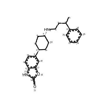 CC(CCN[C@H]1CC[C@H](c2ccc3[nH]c(=O)oc3c2)CC1)c1ccccc1